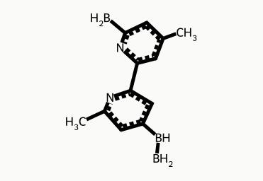 BBc1cc(C)nc(-c2cc(C)cc(B)n2)c1